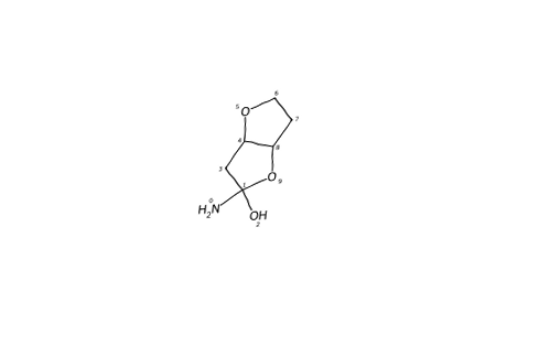 NC1(O)CC2OCCC2O1